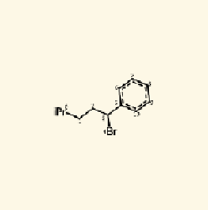 CC(C)CCC(Br)c1ccccc1